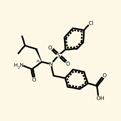 CC(C)C[C@H](C(N)=O)N(Cc1ccc(C(=O)O)cc1)S(=O)(=O)c1ccc(Cl)cc1